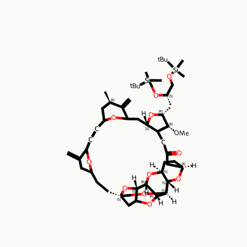 C=C1CC2CC[C@@]34CC5O[C@H]6[C@@H](O3)[C@H]3O[C@H](CC[C@@H]3O[C@H]6[C@H]5O4)CC(=O)CC3[C@H](CC4OC(CCC1O2)C[C@@H](C)C4=C)O[C@H](C[C@@H](CO[Si](C)(C)C(C)(C)C)O[Si](C)(C)C(C)(C)C)[C@@H]3OC